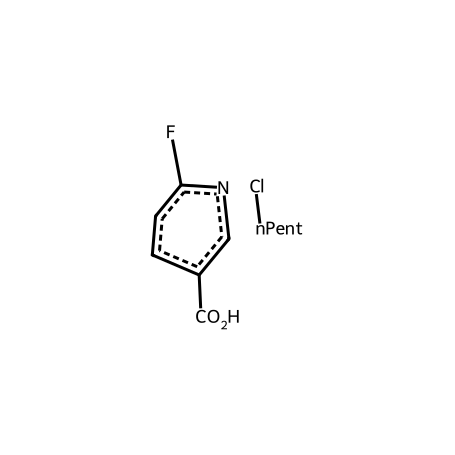 CCCCCCl.O=C(O)c1ccc(F)nc1